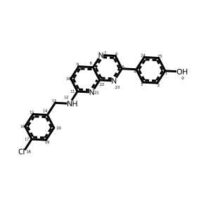 Oc1ccc(-c2cnc3ccc(NCc4ccc(Cl)cc4)nc3n2)cc1